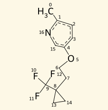 Cc1ccc(OCCC2(C(F)(F)F)CC2)cn1